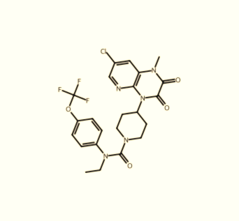 CCN(C(=O)N1CCC(n2c(=O)c(=O)n(C)c3cc(Cl)cnc32)CC1)c1ccc(OC(F)(F)F)cc1